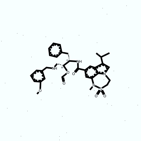 COc1cccc(CNC[C@@H](OC=O)[C@H](Cc2ccccc2)NC(=O)c2cc3c4c(c2)c(C(C)C)cn4CCS(=O)(=O)N3C)c1